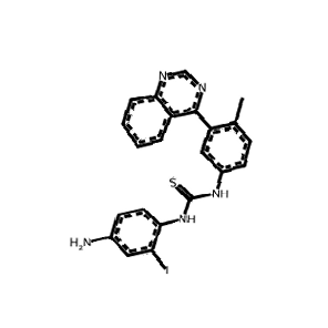 Cc1ccc(NC(=S)Nc2ccc(N)cc2I)cc1-c1ncnc2ccccc12